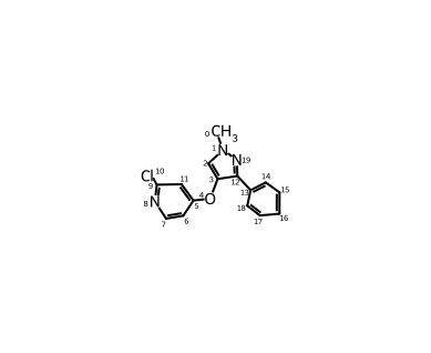 Cn1cc(Oc2ccnc(Cl)c2)c(-c2ccccc2)n1